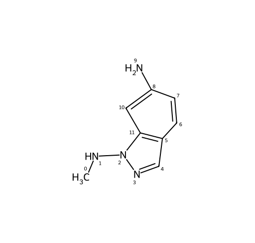 CNn1ncc2ccc(N)cc21